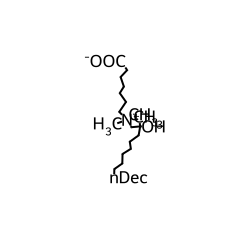 CCCCCCCCCCCCCCCCC(C)(O)C[N+](C)(C)CCCCCCC(=O)[O-]